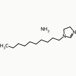 CCCCCCCCCCN1C=NCC1.N